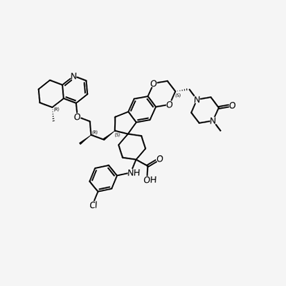 C[C@@H](COc1ccnc2c1[C@H](C)CCC2)C[C@H]1Cc2cc3c(cc2C12CCC(Nc1cccc(Cl)c1)(C(=O)O)CC2)O[C@@H](CN1CCN(C)C(=O)C1)CO3